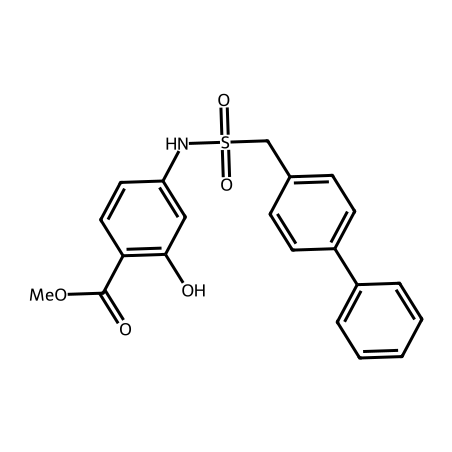 COC(=O)c1ccc(NS(=O)(=O)Cc2ccc(-c3ccccc3)cc2)cc1O